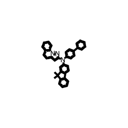 CC1(C)c2ccccc2-c2ccc(N(c3ccc(-c4ccccc4)cc3)c3cc4ccc5ccccc5n4n3)cc21